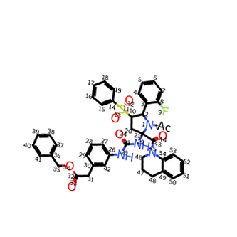 CC(=O)N1C(c2ccccc2F)C(S(=O)(=O)c2ccccc2)CC1(NC(=O)Nc1cccc(CC(=O)OCc2ccccc2)c1)C(=O)N1CCCc2ccccc21